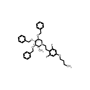 CCCCOc1cc(F)c(CCN2C[C@H](OCc3ccccc3)[C@@H](OCc3ccccc3)[C@H](OCc3ccccc3)[C@H]2C)c(F)c1